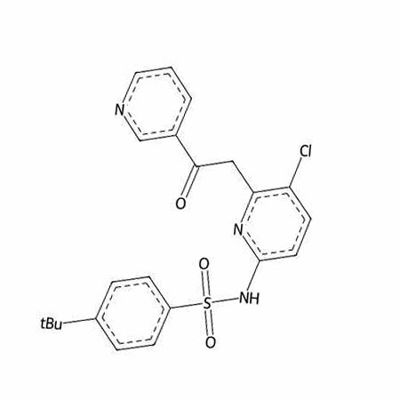 CC(C)(C)c1ccc(S(=O)(=O)Nc2ccc(Cl)c(CC(=O)c3cccnc3)n2)cc1